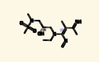 C=N/C(=C(/C)C(C)=N)N(CC)C[C@H](O)CN(C)S(C)(=O)=O